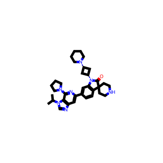 CC(C)n1cnc2cc(-c3ccc4c(c3)N([C@H]3C[C@@H](N5CCCCC5)C3)C(=O)C43CCNCC3)nc(N3CCCC3)c21